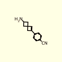 N#Cc1ccc(C2=CC3(C2)CC(N)C3)cc1